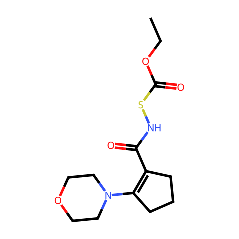 CCOC(=O)SNC(=O)C1=C(N2CCOCC2)CCC1